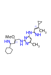 CO/C(=C\C(=N)C1CCCCC1)CNc1nc(C)cc(NC(=N)/C=C(\C)C2CC2)n1